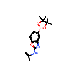 C=C(C)Nc1nc2cc(B3OC(C)(C)C(C)(C)O3)ccc2o1